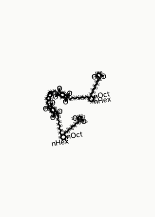 CCCCCCCCC1C(CCCCCC)CCC(CCCCCCCCn2c(=O)c3cc4c(=O)n(CC5CC6C7CC(Cn8c(=O)c9cc%10c(=O)n(CCCCCCCCC%11CCC(CCCCCC)C(CCCCCCCC)C%11CCCCCCCCN%11C(=O)C=CC%11=O)c(=O)c%10cc9c8=O)C(C7)C6C5)c(=O)c4cc3c2=O)C1CCCCCCCCN1C(=O)C=CC1=O